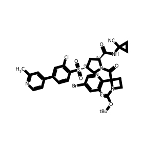 Cc1cc(-c2ccc(S(=O)(=O)[C@@H]3C[C@@H](C(=O)NC4(C#N)CC4)N(C(=O)C4(c5ncc(Br)cc5F)CCN4C(=O)OC(C)(C)C)C3)c(Cl)c2)ccn1